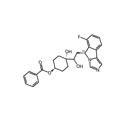 O=C(O[C@H]1CC[C@@](O)(C(O)C[C@H]2c3c(F)cccc3-c3cncn32)CC1)c1ccccc1